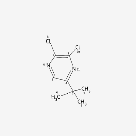 CC(C)(C)c1cnc(Cl)c(Cl)n1